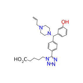 C=CCN1CCN([C@@H](c2ccc(-c3nnnn3CCCCC(=O)O)cc2)c2cccc(O)c2)CC1